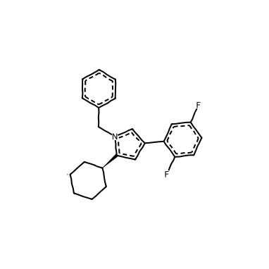 Fc1ccc(F)c(-c2cc([C@@H]3C[CH]CCC3)n(Cc3ccccc3)c2)c1